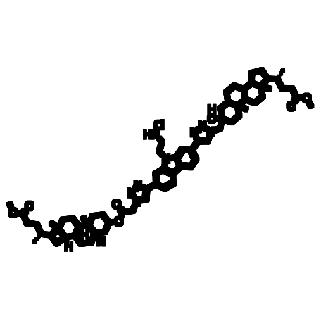 COC(=O)CC[C@@H](C)C1CCC2C3CCC4CC(O)(Cn5cc(-c6ccc7c8ccc(-c9cn(CC(=O)OC%10CCC%11(C)C%12CCC%13(C)C([C@H](C)CCC(=O)OC)C[C@H]%13[C@@H]%12CC[C@@H]%11C%10)nn9)cc8n(CCNCl)c7c6)nn5)CCC4(C)C3CCC21C